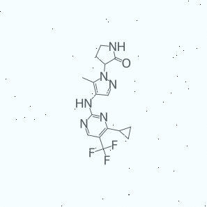 Cc1c(Nc2ncc(C(F)(F)F)c(C3CC3)n2)cnn1C1CCNC1=O